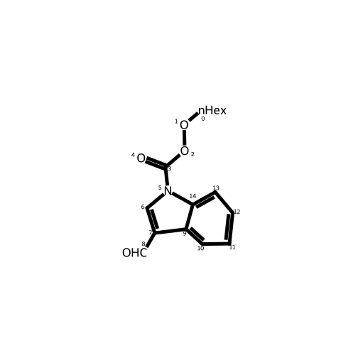 CCCCCCOOC(=O)n1cc(C=O)c2ccccc21